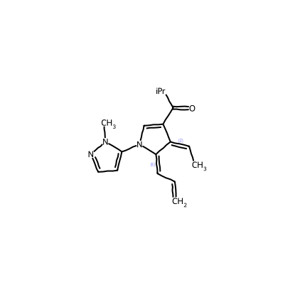 C=C/C=c1\c(=C/C)c(C(=O)C(C)C)cn1-c1ccnn1C